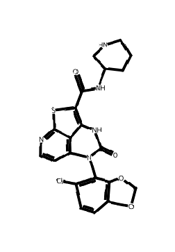 O=C(NC1CCCNC1)c1sc2nccc3c2c1NC(=O)N3c1c(Cl)ccc2c1OCO2